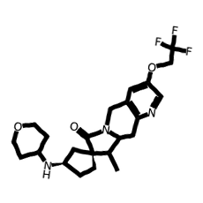 CC1C2Cc3ncc(OCC(F)(F)F)cc3CN2C(=O)[C@]12CC[C@@H](NC1CCOCC1)C2